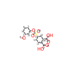 COc1cccc(OS(=O)(=O)c2ccc(C(=O)O)c(C(=O)O)c2)c1